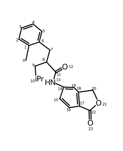 Cc1ccccc1CC(CC(C)C)C(=O)Nc1ccc2c(c1)COC2=O